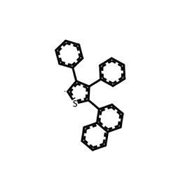 [c]1sc(-c2cccc3ccccc23)c(-c2ccccc2)c1-c1ccccc1